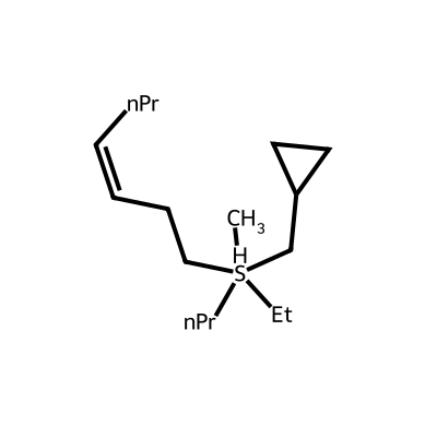 CCC/C=C\CC[SH](C)(CC)(CCC)CC1CC1